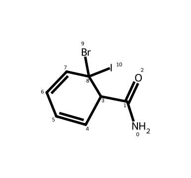 NC(=O)C1C=CC=CC1(Br)I